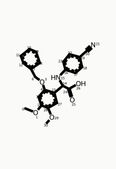 COc1cc(OCc2ccccc2)c(C(Nc2ccc(C#N)cc2)C(=O)O)cc1OC